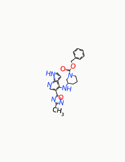 Cc1noc(-c2cnc3[nH]ccc3c2N[C@@H]2CCCN(C(=O)OCc3ccccc3)C2)n1